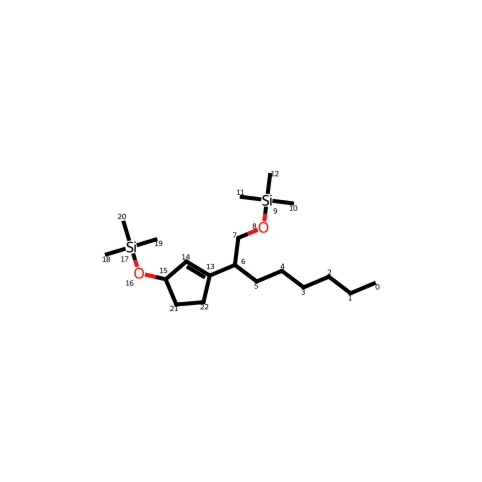 CCCCCCC(CO[Si](C)(C)C)C1=CC(O[Si](C)(C)C)CC1